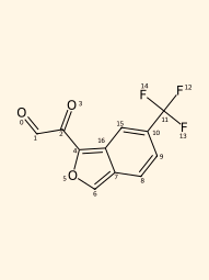 O=CC(=O)c1occ2ccc(C(F)(F)F)cc12